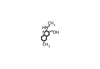 CCNc1nc2ccc(C)cc2cc1CO